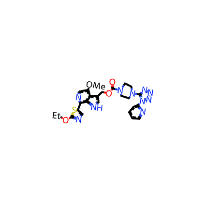 CCOc1ncc(-c2ncc(OC)c3c(COC(=O)N4CCN(c5nnnn5-c5ccccn5)CC4)c[nH]c23)s1